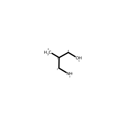 CC(C[NH])CO